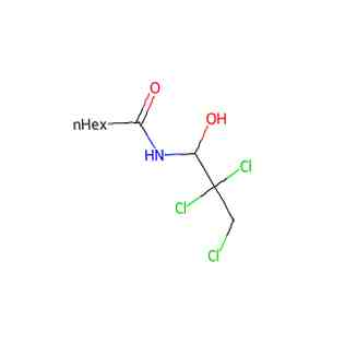 CCCCCCC(=O)NC(O)C(Cl)(Cl)CCl